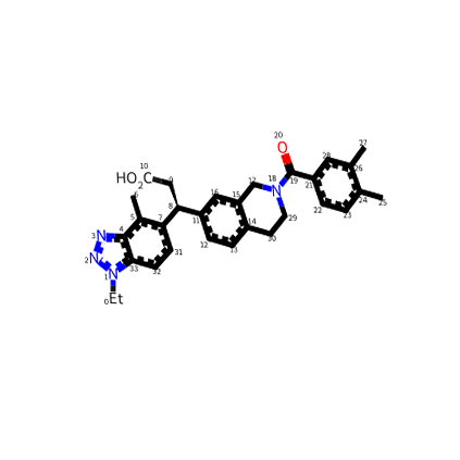 CCn1nnc2c(C)c([C@@H](CC(=O)O)c3ccc4c(c3)CN(C(=O)c3ccc(C)c(C)c3)CC4)ccc21